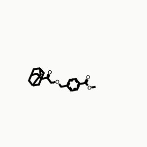 COC(=O)c1ccc(COCC(=O)C23CC4CC(CC(C4)C2)C3)cc1